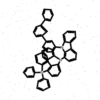 c1ccc(-c2cccc(-c3cccc(-n4c5ccccc5c5cccc(-n6c7ccccc7c7c([Si](c8ccccc8)(c8ccccc8)c8ccccc8)cccc76)c54)c3)c2)cc1